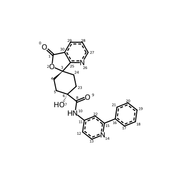 O=C1O[C@]2(CC[C@](O)(C(=O)Nc3ccnc(-c4ccccc4)c3)CC2)c2ncccc21